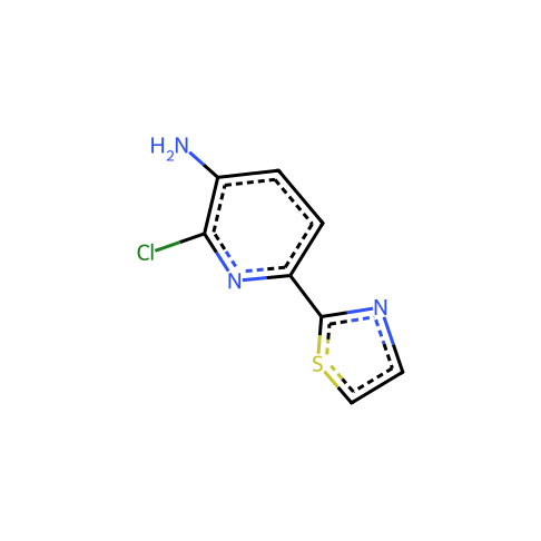 Nc1ccc(-c2nccs2)nc1Cl